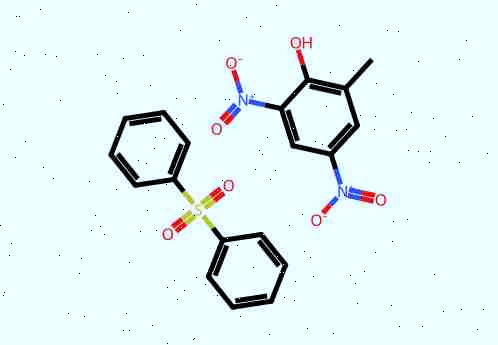 Cc1cc([N+](=O)[O-])cc([N+](=O)[O-])c1O.O=S(=O)(c1ccccc1)c1ccccc1